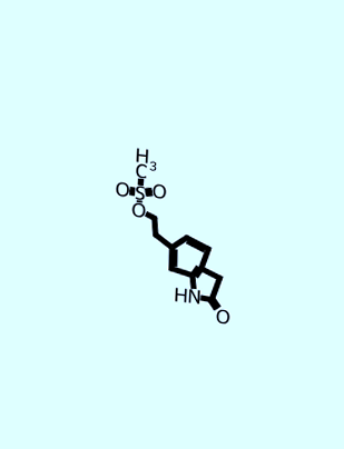 CS(=O)(=O)OCCc1ccc2c(c1)NC(=O)C2